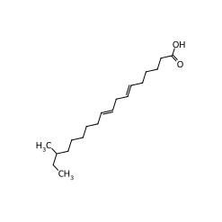 CCC(C)CCCCCC=CCC=CCCCCC(=O)O